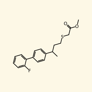 COC(=O)CSCCC(C)c1ccc(-c2ccccc2F)cc1